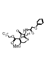 COC1=C(C(=O)OCC(Cl)(Cl)Cl)N2C(=O)[C@@H](NC(=O)COc3ccccc3)[C@@H]2SC1